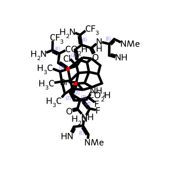 CN/C=C(\C=N)NC(=O)C(/C=C\C1C2CC3CC4C5C6C(C)C7(C)C(C)C8C2C(Br)(/C=C\C(C(=O)O)=C(/N)F)C(C5(Cl)/C=C\C(C(=O)O)=C(/N)C(F)(F)F)(C31C4/C=C\C(C(=O)N/C(C=N)=C/NC)=C(/N)C(F)(F)F)C687)=C(/N)F